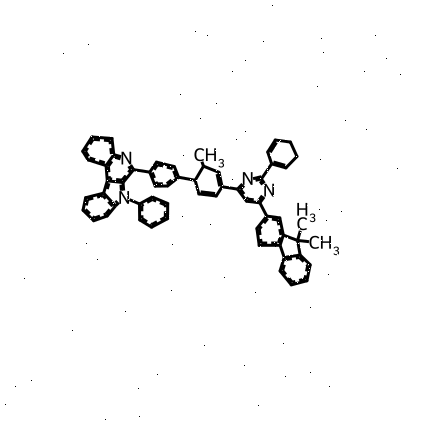 CC1C=C(c2cc(-c3ccc4c(c3)C(C)(C)c3ccccc3-4)nc(C3=CCCC=C3)n2)C=CC1c1ccc(-c2nc3ccccc3c3c4ccccc4n(-c4ccccc4)c23)cc1